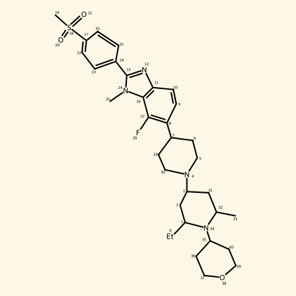 CCC1CC(N2CCC(c3ccc4nc(-c5ccc(S(C)(=O)=O)cc5)n(C)c4c3F)CC2)CC(C)N1C1CCOCC1